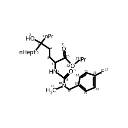 CCCCCCCC(O)(CCC)CCC(NC(=O)N(C)Cc1ccc(F)cc1)C(=O)OC(C)C